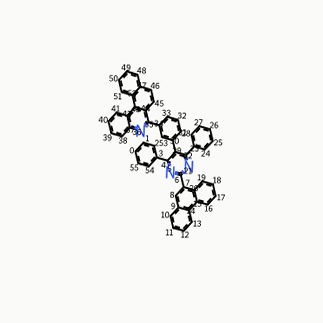 c1ccc(-c2nc(-c3cc4ccccc4c4ccccc34)nc(-c3ccccc3)c2-c2cccc(-c3nc4ccccc4c4c3ccc3ccccc34)c2)cc1